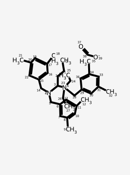 CCCC(N(Cc1cc(C)cc(C)c1)Cc1cc(C)cc(C)c1)[N+](CC)(CC)Cc1cc(C)cc(C)c1.O=C[O-]